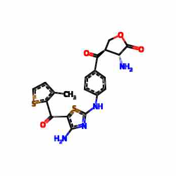 Cc1ccsc1C(=O)c1sc(Nc2ccc(C(=O)[C@H]3COC(=O)[C@@H]3N)cc2)nc1N